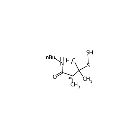 CCCCNC(=O)[C@@H](C)C(C)(C)SS